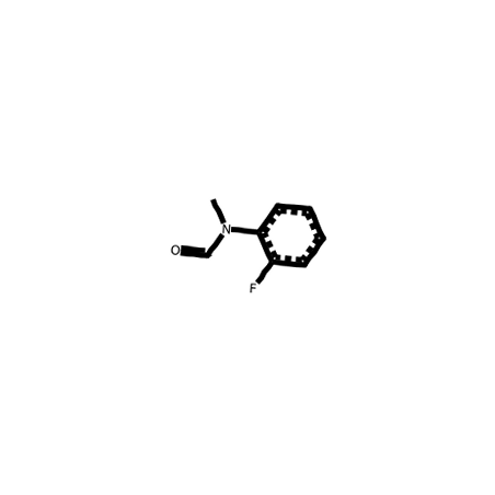 CN([C]=O)c1ccccc1F